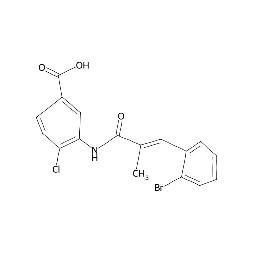 CC(=Cc1ccccc1Br)C(=O)Nc1cc(C(=O)O)ccc1Cl